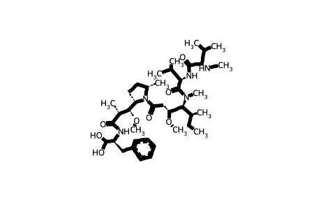 CC[C@H](C)[C@@H]([C@@H](CC(=O)N1[C@@H](C)CC[C@H]1[C@H](OC)[C@@H](C)C(=O)N[C@@H](Cc1ccccc1)C(O)O)OC)N(C)C(=O)[C@@H](NC(=O)[C@@H](NC)C(C)C)C(C)C